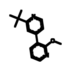 COc1ncccc1-c1ccnc(C(C)(C)C)c1